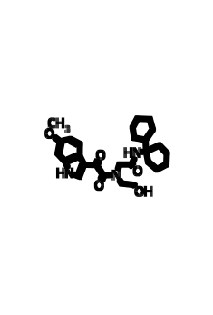 COc1ccc2c(C(=O)C(=O)N(CCO)CC(=O)NC3(C4CCCCC4)CCCCC3)c[nH]c2c1